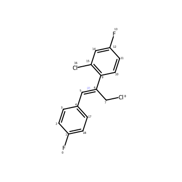 Fc1ccc(/C=C(\CCl)c2ccc(F)cc2Cl)cc1